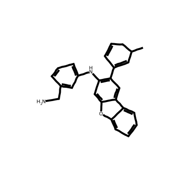 CC1C=C(c2cc3c(cc2Nc2cccc(CN)c2)oc2ccccc23)C=CC1